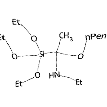 CCCCCOC(C)(NCC)[Si](OCC)(OCC)OCC